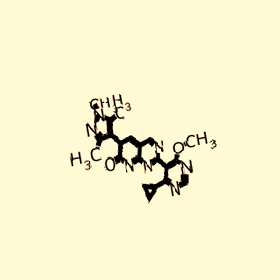 COc1ncnc(C2CC2)c1-c1ncc2c(n1)=NC(=O)C(c1c(C)nn(C)c1C)C=2